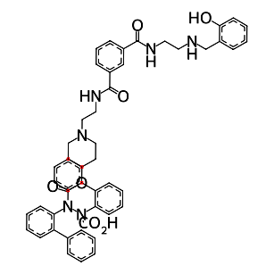 O=C(NCCNCc1ccccc1O)c1cccc(C(=O)NCCN2CCC(OC(=O)N(c3ccccc3-c3ccccc3)N(C(=O)O)c3ccccc3-c3ccccc3)CC2)c1